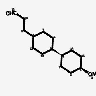 CO[C@H]1CC[C@H](C2CCC(CCC=O)CC2)CC1